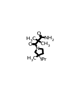 CC(C)[C@@]1(C)CCN(C(=O)C(C)(C)C(N)=O)C1